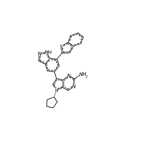 Nc1ncc2c(n1)c(-c1cc(-c3cc4ccccc4s3)c3[nH]ncc3c1)cn2C1CCCC1